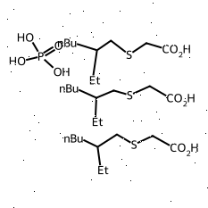 CCCCC(CC)CSCC(=O)O.CCCCC(CC)CSCC(=O)O.CCCCC(CC)CSCC(=O)O.O=P(O)(O)O